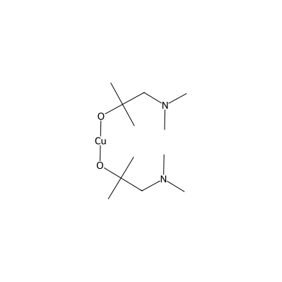 CN(C)CC(C)(C)[O][Cu][O]C(C)(C)CN(C)C